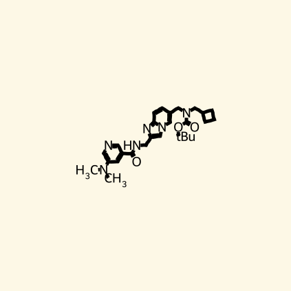 CN(C)c1cncc(C(=O)NCc2cn3cc(CN(CC4CCC4)C(=O)OC(C)(C)C)ccc3n2)c1